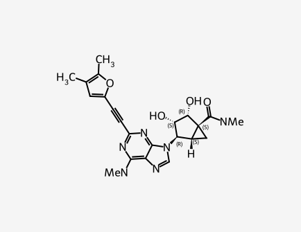 CNC(=O)[C@@]12C[C@@H]1[C@@H](n1cnc3c(NC)nc(C#Cc4cc(C)c(C)o4)nc31)[C@H](O)[C@@H]2O